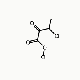 CC(Cl)C(=O)C(=O)OCl